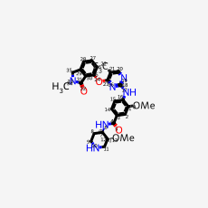 COc1cc(C(=O)N[C@@H]2CCNC[C@H]2OC)ccc1Nc1ncc(C(F)(F)F)c(Oc2cccc3c2C(=O)N(C)C3)n1